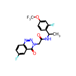 CC(NC(=O)Cn1nnc2ccc(F)cc2c1=O)c1ccc(OC(F)(F)F)cc1F